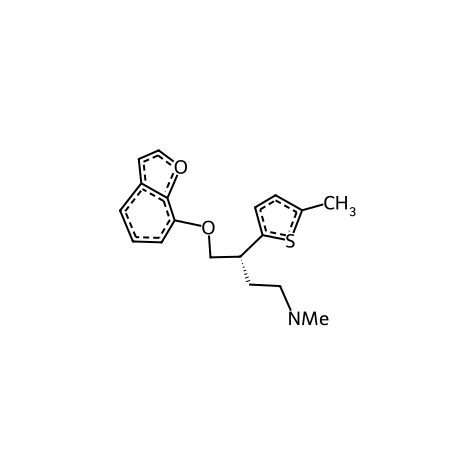 CNCC[C@H](COc1cccc2ccoc12)c1ccc(C)s1